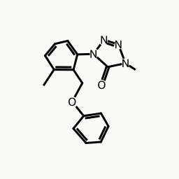 Cc1cccc(-n2nnn(C)c2=O)c1COc1ccccc1